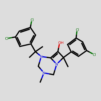 CN1CN(C(C)(C)c2cc(Cl)cc(Cl)c2)C2=C(O)C(C)(c3cc(Cl)cc(Cl)c3)N2C1